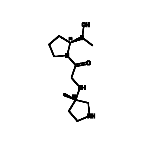 CB(O)[C@@H]1CCCN1C(=O)CN[C@@]1(C)CCNC1